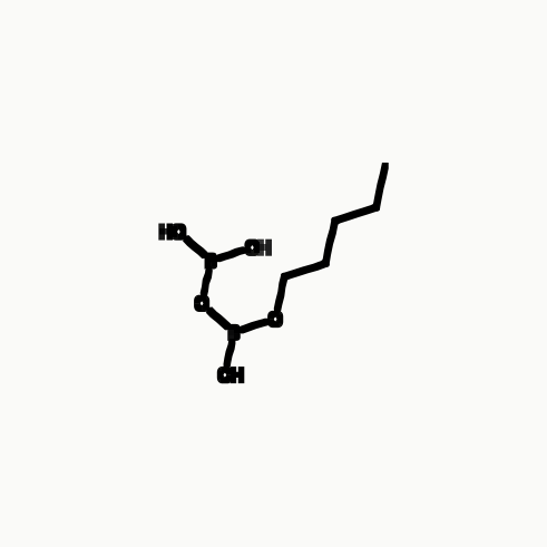 CCCCCOB(O)OB(O)O